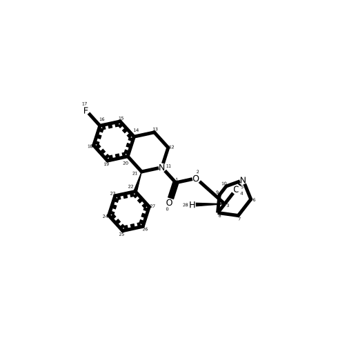 O=C(O[C@@H]1CN2CCC1CC2)N1CCc2cc(F)ccc2[C@@H]1c1ccccc1